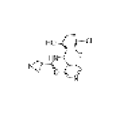 CN1CC(C(=O)N[C@H](c2ccncc2)c2c(O)ccc(Cl)c2Cl)C1